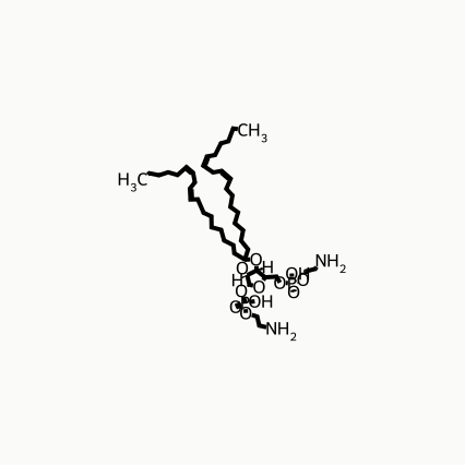 CCCCC/C=C\C/C=C\CCCCCCCCC1(CCCCCCCC/C=C\C/C=C\CCCCC)O[C@@H]2[C@@H](OP(=O)(O)OCCN)OC(COP(=O)(O)OCCN)[C@H]2O1